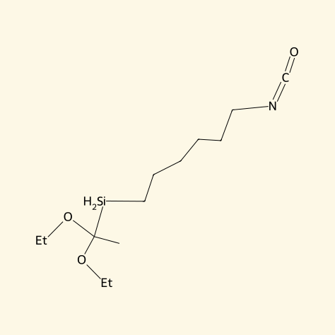 CCOC(C)(OCC)[SiH2]CCCCCCN=C=O